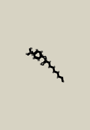 CCCCCCCCC(=O)Oc1ccc([S+](C)C)cc1